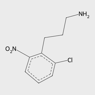 NCCCc1c(Cl)cccc1[N+](=O)[O-]